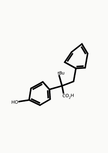 CC(C)(C)C(Cc1ccccc1)(C(=O)O)c1ccc(O)cc1